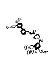 CCCOc1ccc(-c2cccc(/C=C/C(=O)N3CCN(C(=O)c4cc(OC)c(OC)c(OC)c4)CC3)c2)cc1OC